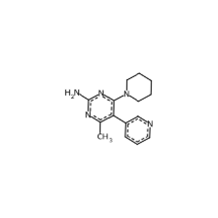 Cc1nc(N)nc(N2CCCCC2)c1-c1cccnc1